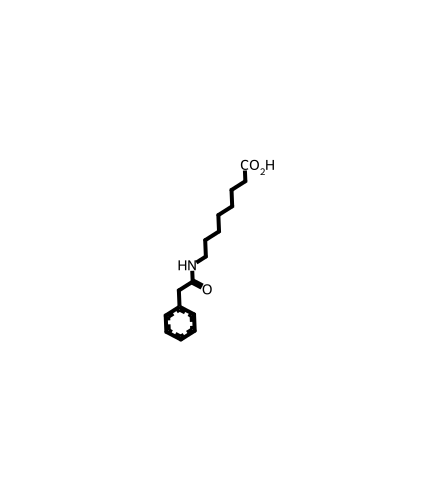 O=C(O)CCCCCCCNC(=O)Cc1ccccc1